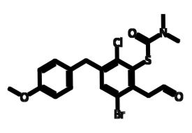 COc1ccc(Cc2cc(Br)c(CC=O)c(SC(=O)N(C)C)c2Cl)cc1